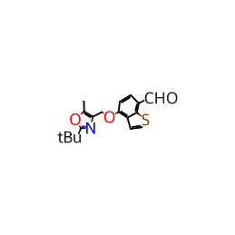 Cc1oc(C(C)(C)C)nc1COc1ccc(C=O)c2sccc12